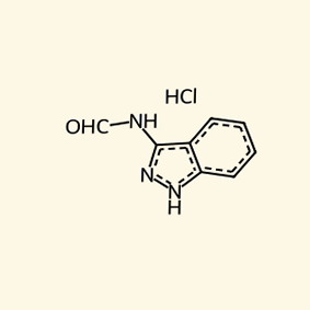 Cl.O=CNc1n[nH]c2ccccc12